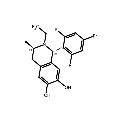 C[C@@H]1Cc2cc(O)c(O)cc2[C@@H](c2c(F)cc(Br)cc2F)N1CC(F)(F)F